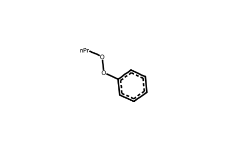 CCCOOc1ccccc1